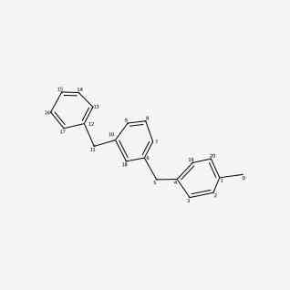 Cc1ccc(Cc2cccc(Cc3ccccc3)c2)cc1